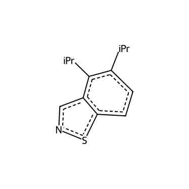 CC(C)c1ccc2sncc2c1C(C)C